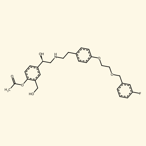 CC(=O)Oc1ccc([C@@H](O)CNCCc2ccc(OCCOCc3cccc(F)c3)cc2)cc1CO